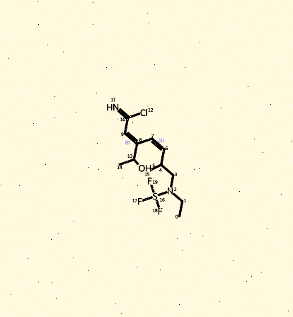 CCN(CC(C)/C=C\C(=C/C(=N)Cl)C(C)O)S(F)(F)F